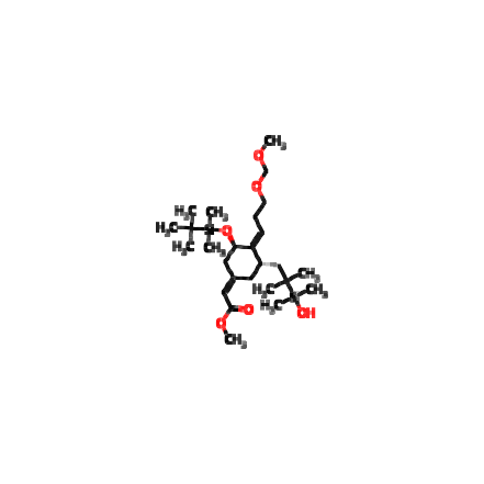 COCOCC/C=C1/[C@H](CC(C)(C)[Si](C)(C)O)C/C(=C\C(=O)OC)C[C@H]1O[Si](C)(C)C(C)(C)C